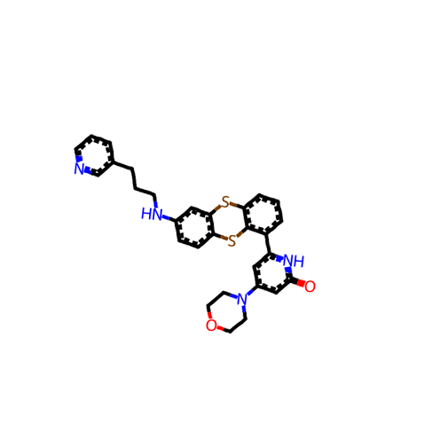 O=c1cc(N2CCOCC2)cc(-c2cccc3c2Sc2ccc(NCCCc4cccnc4)cc2S3)[nH]1